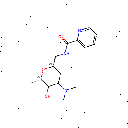 C[C@@H]1O[C@H](CNC(=O)c2ccccn2)CC(N(C)C)C1O